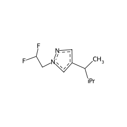 CC(C)C(C)c1cnn(CC(F)F)c1